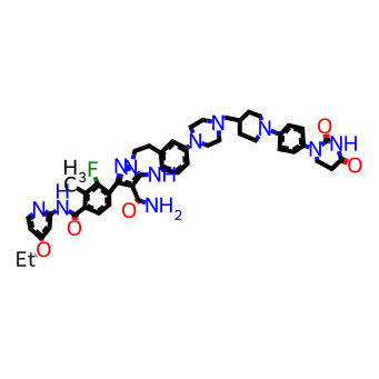 CCOc1ccnc(NC(=O)c2ccc(-c3nn4c(c3C(N)=O)Nc3ccc(N5CCN(CC6CCN(c7ccc(N8CCC(=O)NC8=O)cc7)CC6)CC5)cc3CC4)c(F)c2C)c1